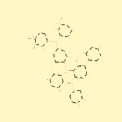 Cc1ccc(N(c2ccc(C)c(C)c2)c2ccc3c(c2)Oc2c(-c4ccccc4)ccc4c2B3c2ccccc2N4c2ccccc2)cc1C